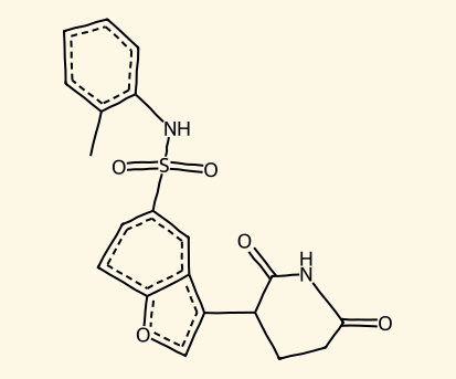 Cc1ccccc1NS(=O)(=O)c1ccc2occ(C3CCC(=O)NC3=O)c2c1